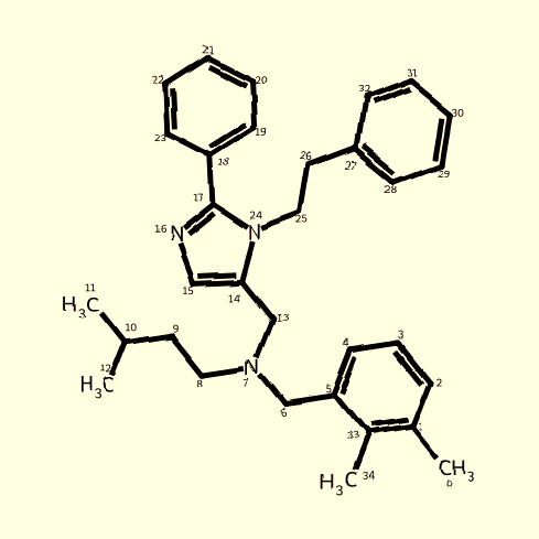 Cc1cccc(CN(CCC(C)C)Cc2cnc(-c3ccccc3)n2CCc2ccccc2)c1C